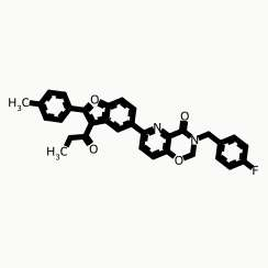 CCC(=O)c1c(-c2ccc(C)cc2)oc2ccc(-c3ccc4c(n3)C(=O)N(Cc3ccc(F)cc3)CO4)cc12